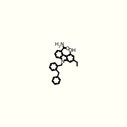 CCc1cc(O)c2c3c(C(N)=O)cccc3n(Cc3ccccc3Cc3ccccc3)c2c1